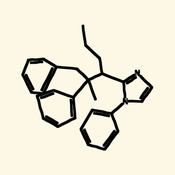 CCCC(c1nccn1-c1ccccc1)C(C)(Cc1ccccc1)c1ccccc1